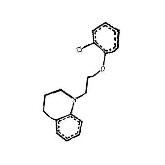 Clc1ccccc1OCCN1CCCc2ccccc21